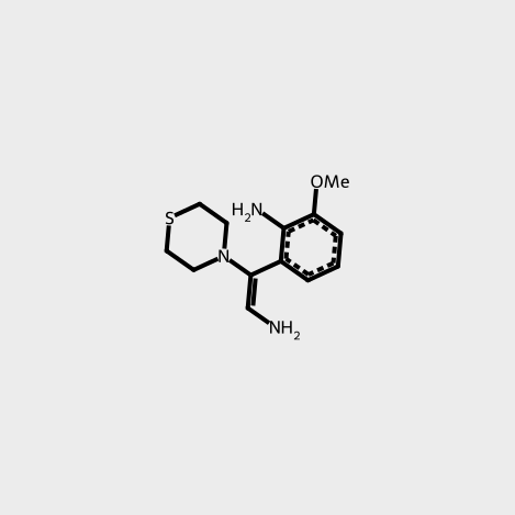 COc1cccc(/C(=C\N)N2CCSCC2)c1N